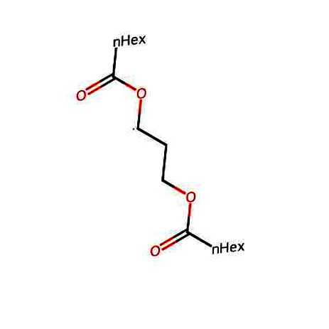 CCCCCCC(=O)O[CH]CCOC(=O)CCCCCC